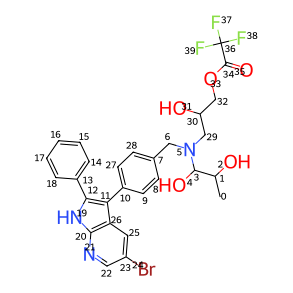 CC(O)C(O)N(Cc1ccc(-c2c(-c3ccccc3)[nH]c3ncc(Br)cc23)cc1)CC(O)COC(=O)C(F)(F)F